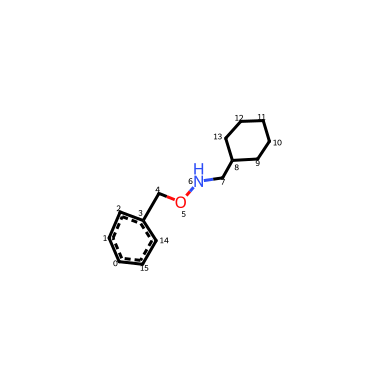 c1ccc(CONCC2CCCCC2)cc1